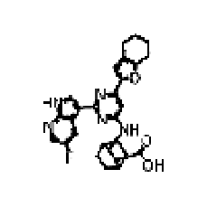 O=C(O)C1C2CCC(CC2)C1Nc1cc(-c2cc3c(o2)CCCC3)nc(-c2c[nH]c3ncc(F)cc23)n1